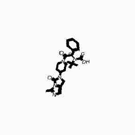 Cc1ncc2n1C(=O)N(C1CCN(C(=O)[C@@H](C3CCCCC3)N(C(=O)O)C(C)(C)C)CC1)C2